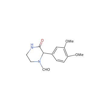 COc1ccc(C2C(=O)NCCN2C=O)cc1OC